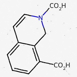 O=C(O)c1cccc2c1CN(C(=O)O)C=C2